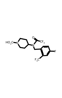 O=C(O)N1CCC(N(Cc2ccc(F)cc2C(F)(F)F)C(=O)C(F)(F)F)CC1